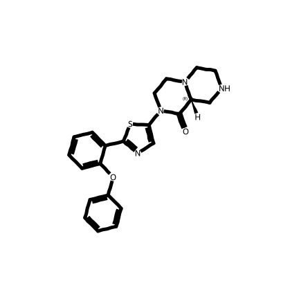 O=C1[C@H]2CNCCN2CCN1c1cnc(-c2ccccc2Oc2ccccc2)s1